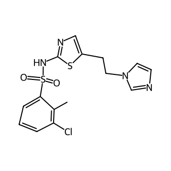 Cc1c(Cl)cccc1S(=O)(=O)Nc1ncc(CCn2ccnc2)s1